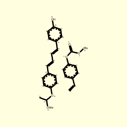 C=Cc1ccc(OC(=O)OC(C)(C)C)cc1.COC(C)Oc1ccc(C=CC=Cc2ccc(O)cc2)cc1